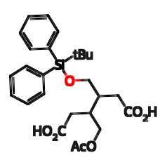 CC(=O)OCC(CC(=O)O)C(CO[Si](c1ccccc1)(c1ccccc1)C(C)(C)C)CC(=O)O